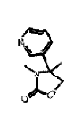 CN1C(=O)OCC1(C)c1cccnc1